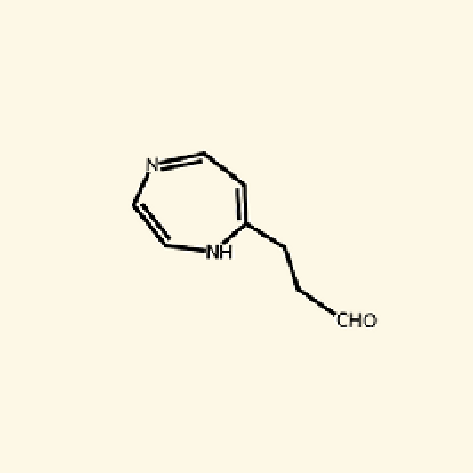 O=CCCC1=CC=NC=CN1